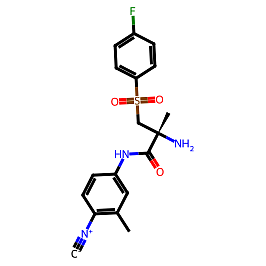 [C-]#[N+]c1ccc(NC(=O)[C@@](C)(N)CS(=O)(=O)c2ccc(F)cc2)cc1C